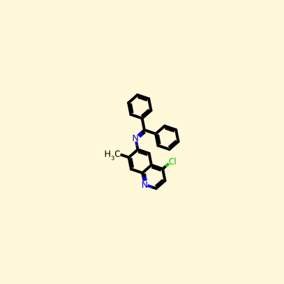 Cc1cc2nccc(Cl)c2cc1N=C(c1ccccc1)c1ccccc1